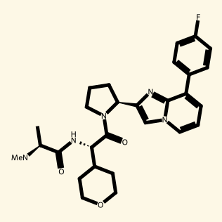 CN[C@@H](C)C(=O)N[C@H](C(=O)N1CCC[C@H]1c1cn2cccc(-c3ccc(F)cc3)c2n1)C1CCOCC1